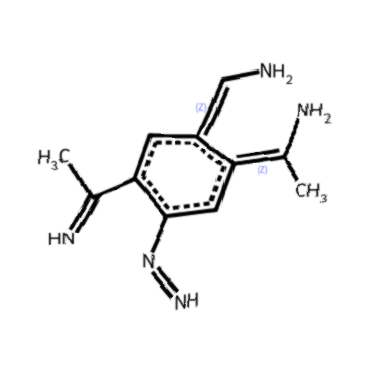 CC(=N)c1cc(=C/N)/c(=C(/C)N)cc1N=N